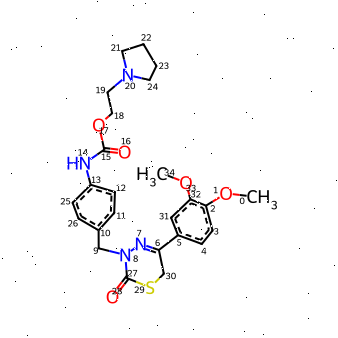 COc1ccc(C2=NN(Cc3ccc(NC(=O)OCCN4CCCC4)cc3)C(=O)SC2)cc1OC